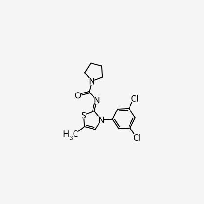 Cc1cn(-c2cc(Cl)cc(Cl)c2)c(=NC(=O)N2CCCC2)s1